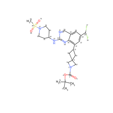 CC(C)(C)OC(=O)N1CC2(CC(c3cc(C(F)F)cc4cnc(NC5CCN(S(C)(=O)=O)CC5)nc34)C2)C1